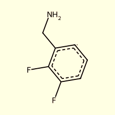 NCc1[c]ccc(F)c1F